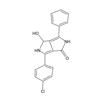 O=C1NC(c2ccccc2)=C2C1=C(c1ccc(Cl)cc1)NC2O